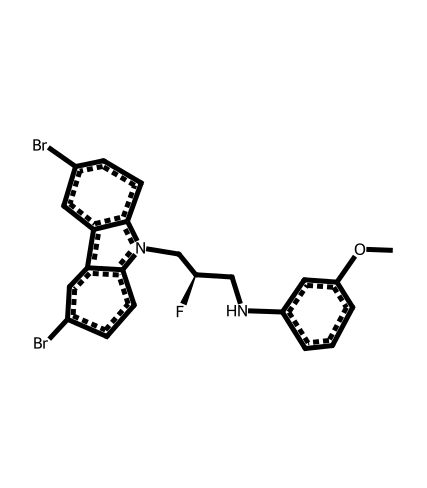 COc1cccc(NC[C@@H](F)Cn2c3ccc(Br)cc3c3cc(Br)ccc32)c1